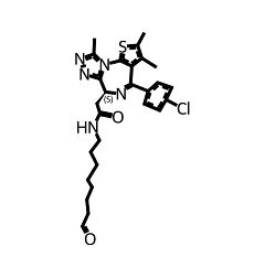 Cc1sc2c(c1C)C(c1ccc(Cl)cc1)=N[C@@H](CC(=O)NCCCCCCCC=O)c1nnc(C)n1-2